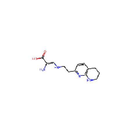 N/C(=C\NCCc1ccc2c(n1)NCCC2)C(=O)O